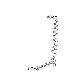 CCCCCCCCCCCCCCCCCCCCCCCCCCCCCCCCCC(=O)OCCCCCCCCCCCCCCCC